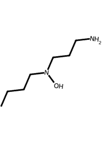 CCCCN(O)CCCN